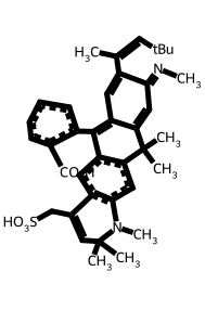 C/N=C1\C=C2C(=C(c3ccccc3C(=O)O)c3cc4c(cc3C2(C)C)N(C)C(C)(C)C=C4CS(=O)(=O)O)C=C1/C(C)=C\C(C)(C)C